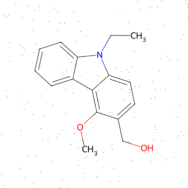 CCn1c2ccccc2c2c(OC)c(CO)ccc21